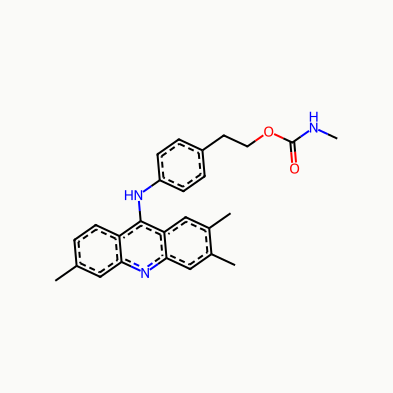 CNC(=O)OCCc1ccc(Nc2c3ccc(C)cc3nc3cc(C)c(C)cc23)cc1